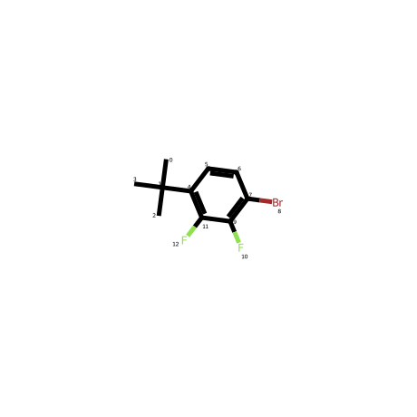 CC(C)(C)c1ccc(Br)c(F)c1F